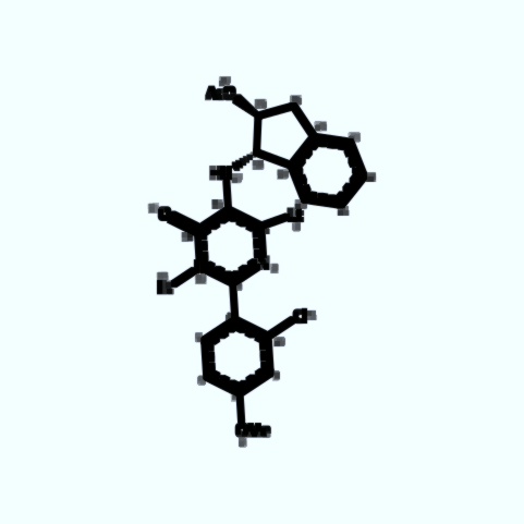 CCc1nc(-c2ccc(OC)cc2Cl)n(CC)c(=O)c1N[C@H]1c2ccccc2C[C@@H]1OC(C)=O